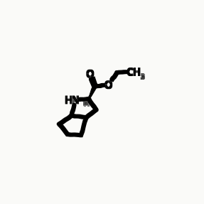 CCOC(=O)[C@H]1CC2CCCC2N1